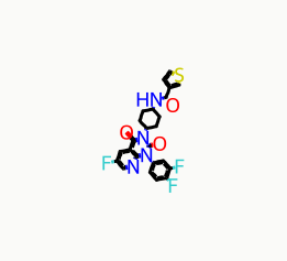 O=C(NC1CCC(n2c(=O)c3cc(F)cnc3n(-c3ccc(F)c(F)c3)c2=O)CC1)c1ccsc1